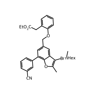 CCCCCCC.CCOC(=O)Cc1ccccc1OCc1cc(-c2cccc(C#N)c2)c2oc(C)c(Br)c2c1